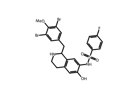 COc1c(Br)cc(CC2NCCc3cc(O)c(NS(=O)(=O)c4ccc(F)cc4)cc32)cc1Br